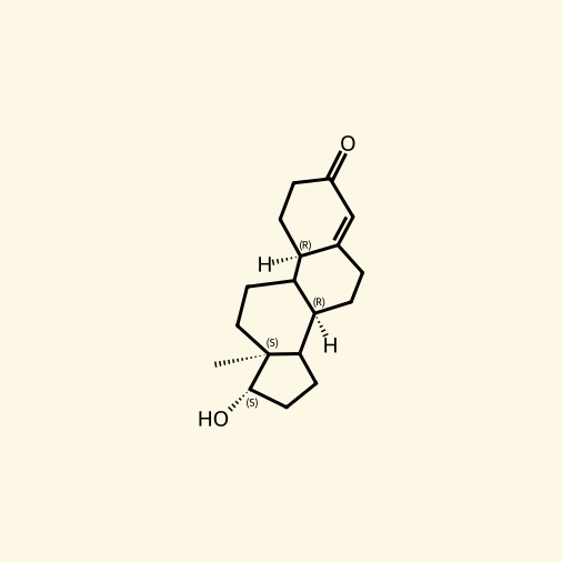 C[C@]12CCC3[C@@H](CCC4=CC(=O)CC[C@@H]43)C1CC[C@@H]2O